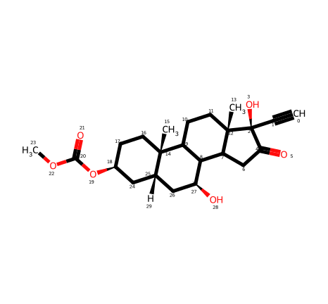 C#C[C@]1(O)C(=O)CC2C3C(CC[C@@]21C)[C@@]1(C)CC[C@H](OC(=O)OC)C[C@H]1C[C@@H]3O